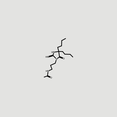 CCCCC1(CCCC)NC(=N)N(CCCNC(C)=O)C1=O